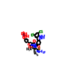 CC[C@H](C)C(NC(=O)[C@@]1(NC(=O)[C@H](CCc2ccc(OP(=O)(O)O)cc2)NC(=O)O)CCc2[nH]c3c(Cl)cc(Cl)cc3c2C1)C(N)=S